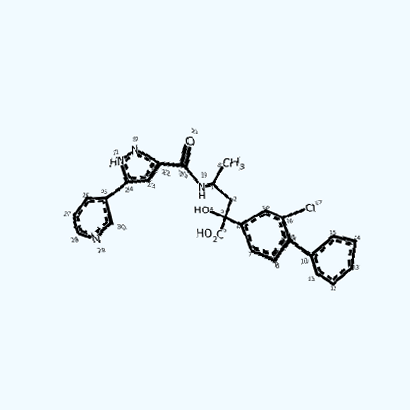 CC(CC(O)(C(=O)O)c1ccc(-c2ccccc2)c(Cl)c1)NC(=O)c1cc(-c2cccnc2)[nH]n1